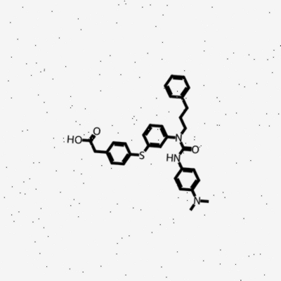 CN(C)c1ccc(NC(=O)N(CCCc2ccccc2)c2cccc(Sc3ccc(CC(=O)O)cc3)c2)cc1